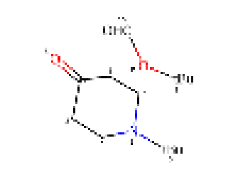 CC(C)(C)N1CCC(=O)CC1.CC(C)(C)OC=O